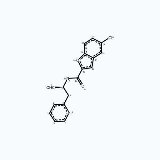 O=[C][C@H](Cc1ccccn1)NC(=O)c1cc2cc(Cl)ccc2o1